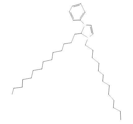 CCCCCCCCCCCCCCC1N(CCCCCCCCCCCCC)C=CN1c1ccccc1